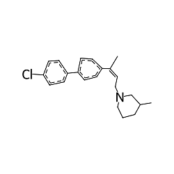 CC(=CCN1CCCC(C)C1)c1ccc(-c2ccc(Cl)cc2)cc1